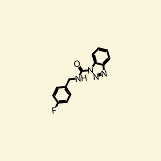 O=C(NCc1ccc(F)cc1)n1nnc2ccccc21